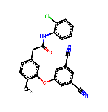 Cc1ccc(CC(=O)Nc2ccccc2Cl)cc1Oc1cc(C#N)cc(C#N)c1